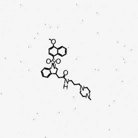 COc1ccc(S(=O)(=O)N2CC(CC(=O)NCCCN3CCN(C)CC3)c3ccccc32)c2ccccc12